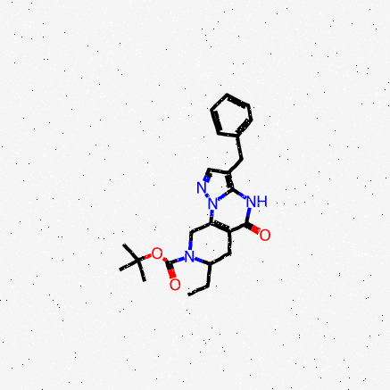 CCC1Cc2c(n3ncc(Cc4ccccc4)c3[nH]c2=O)CN1C(=O)OC(C)(C)C